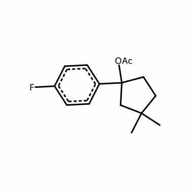 CC(=O)OC1(c2ccc(F)cc2)CCC(C)(C)C1